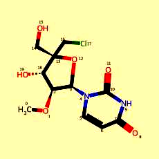 CO[C@@H]1[C@H](n2ccc(=O)[nH]c2=O)O[C@@](CO)(CCl)[C@H]1O